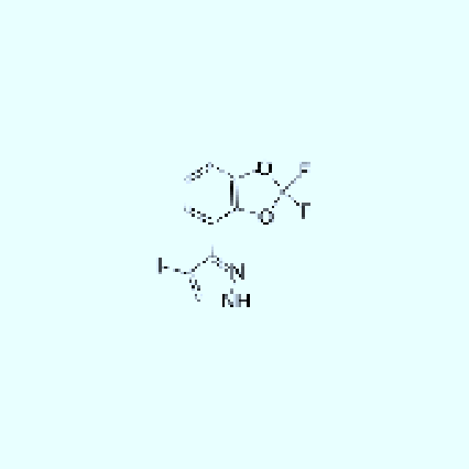 FC1(F)Oc2cccc(-c3n[nH]cc3I)c2O1